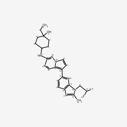 CCC1(O)CCC(Nc2ncc3c(-c4ccc5nc(C)n(CC(F)F)c5n4)ccn3n2)CC1